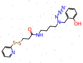 [N-]=[N+]=NN(CCCCNC(=O)CCSSc1ccccn1)Cc1ccccc1O